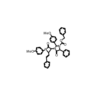 COc1ccc(C2N(C(=O)OCc3ccccc3)C(c3ccccc3)C(=O)N2C2C(=O)N(c3ccc(OC)cc3)C2C=Cc2ccccc2)cc1